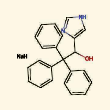 OC(c1c[nH]cn1)C(c1ccccc1)(c1ccccc1)c1ccccc1.[NaH]